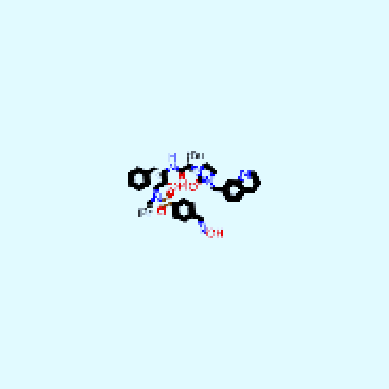 CC(C)CN(C[C@@H](O)[C@H](Cc1ccccc1)NC(=O)[C@@H](N1CCN(Cc2ccc3cccnc3c2)C1=O)C(C)(C)C)S(=O)(=O)c1ccc(/C=N/O)cc1